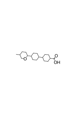 CC1CCC(C2CCC(C3CCC(C(=O)O)CC3)CC2)OC1